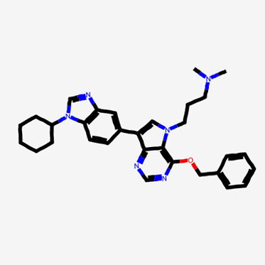 CN(C)CCCn1cc(-c2ccc3c(c2)ncn3C2CCCCC2)c2ncnc(OCc3ccccc3)c21